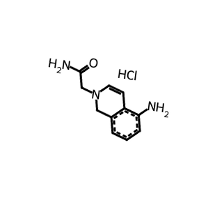 Cl.NC(=O)CN1C=Cc2c(N)cccc2C1